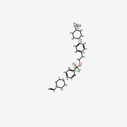 C=C[C@H]1CC[C@H](c2ccc(C(F)(F)OCCc3ccc([C@H]4CC[C@H](CCCC)CC4)cc3)cc2)CC1